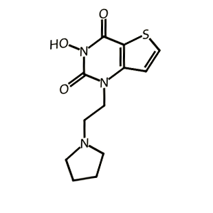 O=c1c2sccc2n(CCN2CCCC2)c(=O)n1O